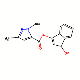 Cc1cc(C(=O)OC2=CC(O)c3ccccc32)n(C(C)(C)C)n1